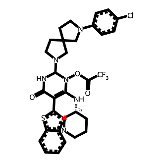 O=C1NC(N2CCC3(CCN(c4ccc(Cl)cc4)C3)C2)N(OC(=O)C(F)(F)F)C(N[C@@H]2CCCNC2)=C1c1nc2ccccc2s1